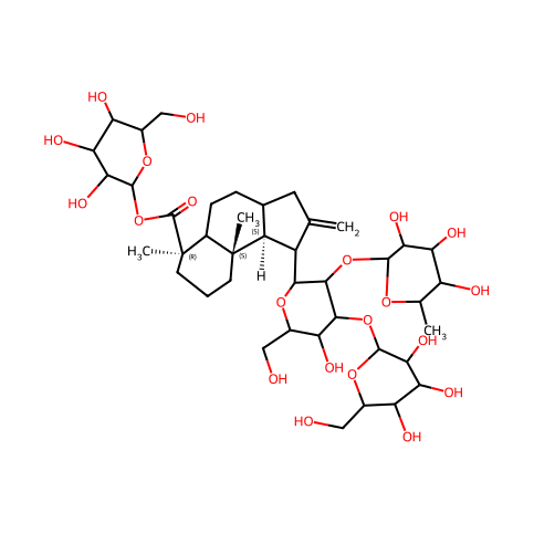 C=C1CC2CCC3[C@](C)(C(=O)OC4OC(CO)C(O)C(O)C4O)CCC[C@@]3(C)[C@@H]2C1C1OC(CO)C(O)C(OC2OC(CO)C(O)C(O)C2O)C1OC1OC(C)C(O)C(O)C1O